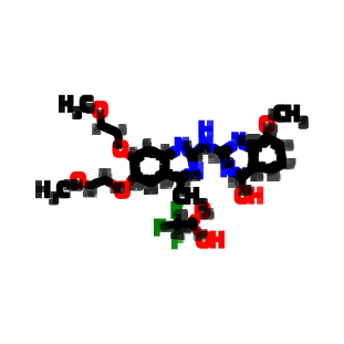 COCCOc1cc2nc(Nc3nc(O)c4cccc(OC)c4n3)nc(C)c2cc1OCCOC.O=C(O)C(F)(F)F